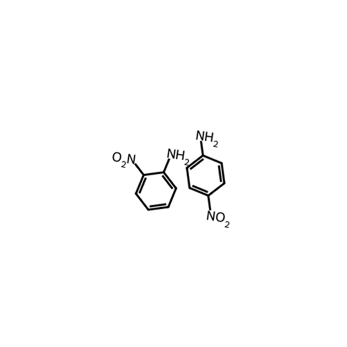 Nc1ccc([N+](=O)[O-])cc1.Nc1ccccc1[N+](=O)[O-]